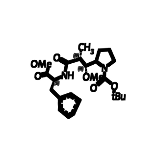 COC(=O)[C@H](Cc1ccccc1)NC(=O)[C@H](C)[C@@H](OC)C1CCCN1C(=O)OC(C)(C)C